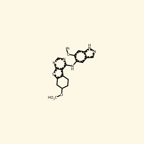 CC(C)Oc1cc2[nH]ncc2cc1Nc1ncnc2sc3c(c12)CCC(OC(=O)O)C3